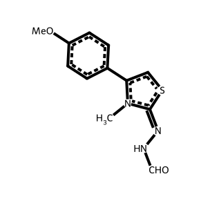 COc1ccc(-c2csc(=NNC=O)n2C)cc1